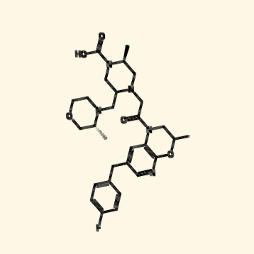 CC1CN(C(=O)CN2C[C@H](C)N(C(=O)O)CC2CN2CCOC[C@H]2C)c2cc(Cc3ccc(F)cc3)cnc2O1